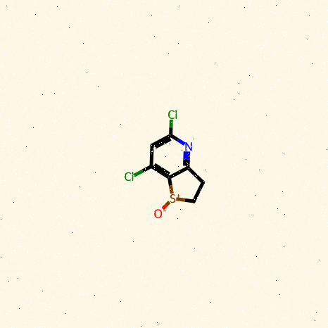 [O-][S+]1CCc2nc(Cl)cc(Cl)c21